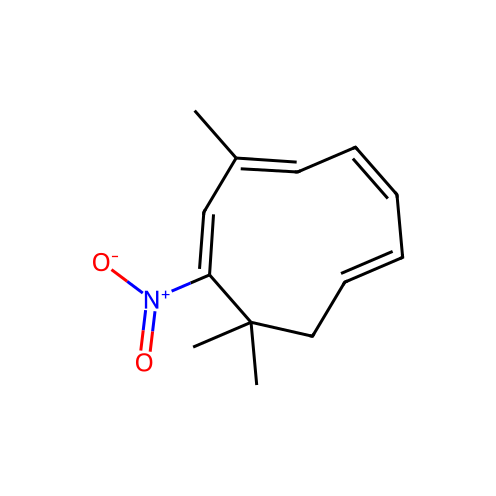 CC1=C\C=C/C=C/CC(C)(C)/C([N+](=O)[O-])=C\1